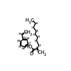 C=C(CCCCCCCC)C(=O)O.C=Cc1ccccc1